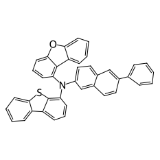 c1ccc(-c2ccc3cc(N(c4cccc5c4sc4ccccc45)c4cccc5oc6ccccc6c45)ccc3c2)cc1